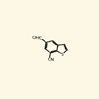 N#Cc1cc(C=O)cc2ccsc12